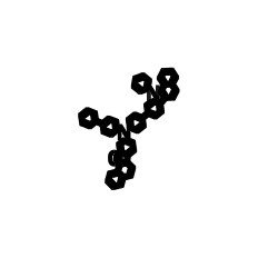 c1ccc(-c2ccc(N(c3ccc(-c4ccc5c6ccc7ccccc7c6n(-c6ccccc6)c5c4)cc3)c3ccc4c(c3)oc3c5ccccc5ccc43)cc2)cc1